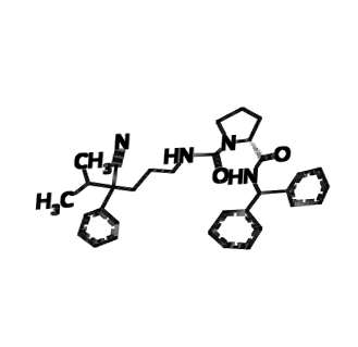 CC(C)C(C#N)(CCCNC(=O)N1CCC[C@@H]1C(=O)NC(c1ccccc1)c1ccccc1)c1ccccc1